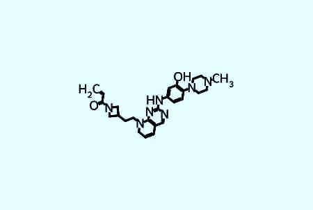 C=CC(=O)N1CC(CCN2CC=Cc3cnc(Nc4ccc(N5CCN(C)CC5)c(O)c4)nc32)C1